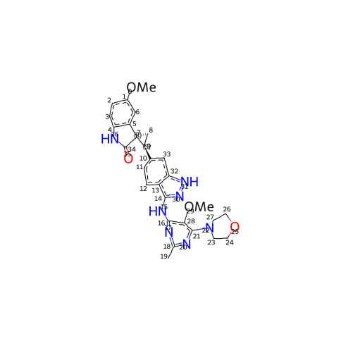 COc1ccc2c(c1)[C@]1(C[C@H]1c1ccc3c(Nc4nc(C)nc(N5CCOCC5)c4OC)n[nH]c3c1)C(=O)N2